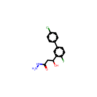 NNC(=O)CC(O)c1cc(-c2ccc(Cl)cc2)ccc1F